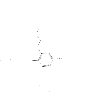 CCOCOc1cc(Br)ccc1F